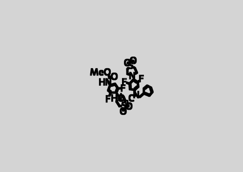 COC(=O)Nc1cc(F)c(N2CCS(=O)(=O)CC2)c(F)c1.O=C(O)N(Cc1ccccc1)c1cc(F)c(N2CCS(=O)(=O)CC2)c(F)c1